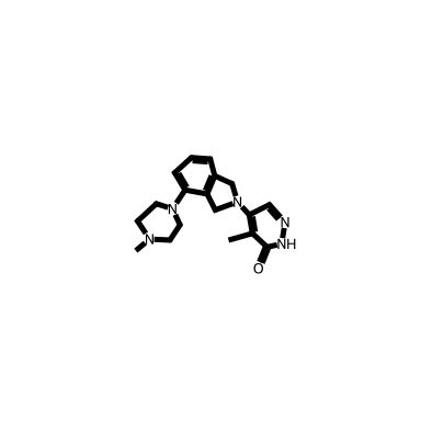 Cc1c(N2Cc3cccc(N4CCN(C)CC4)c3C2)cn[nH]c1=O